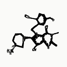 Cc1nc2c(C#N)c(N3CCC[C@@H](N)C3)n(Cc3cc(F)ccc3Cl)c2c(=O)n1C